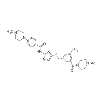 CC(=O)N1CCN(C(=O)c2cc(C)cc(CSc3cnc(NC(=O)c4ccc(N5CCN(C)CC5)cc4)s3)c2)CC1